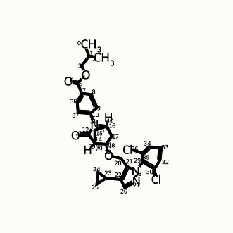 CC(C)COC(=O)c1ccc(N2C(=O)[C@@H]3C[C@H]2C[C@H]3OCc2c(C3CC3)cnn2-c2c(Cl)cccc2Cl)cc1